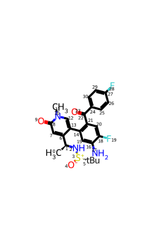 C[C@H](N[S@@+]([O-])C(C)(C)C)c1cc(=O)n(C)cc1-c1cc(N)c(F)cc1C(=O)c1ccc(F)cc1